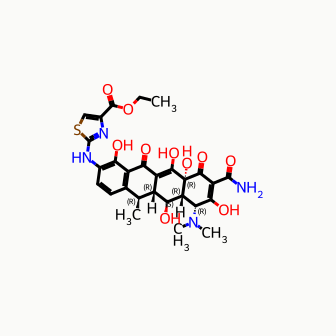 CCOC(=O)c1csc(Nc2ccc3c(c2O)C(=O)C2=C(O)[C@@]4(O)C(=O)C(C(N)=O)=C(O)[C@H](N(C)C)[C@@H]4[C@@H](O)[C@@H]2[C@H]3C)n1